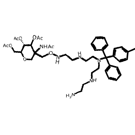 CC(=O)NC1(CONCCNCCN(CCNCCN)C(c2ccccc2)(c2ccccc2)c2ccc(C)cc2)COC(COC(C)=O)[C@H](OC(C)=O)C1OC(C)=O